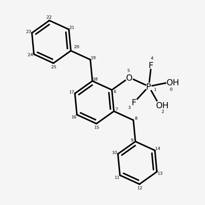 OP(O)(F)(F)Oc1c(Cc2ccccc2)cccc1Cc1ccccc1